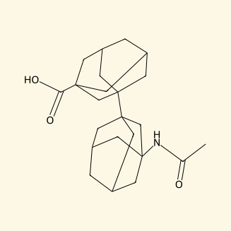 CC(=O)NC12CC3CC(C1)CC(C14CC5CC(CC(C(=O)O)(C5)C1)C4)(C3)C2